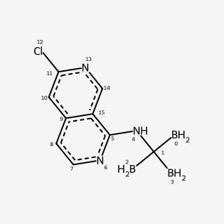 BC(B)(B)Nc1nccc2cc(Cl)ncc12